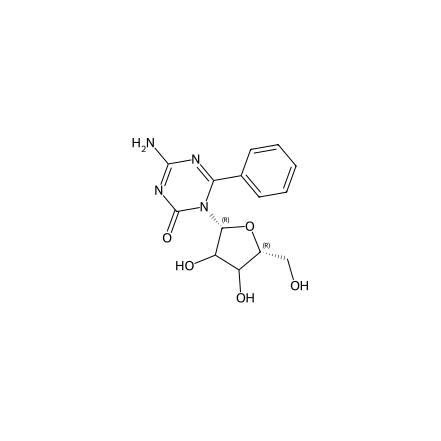 Nc1nc(-c2ccccc2)n([C@@H]2O[C@H](CO)C(O)C2O)c(=O)n1